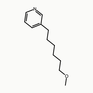 COCCCCCCc1cccnc1